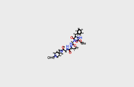 CC(C)CC(NC(=O)CNC(=O)C(Cc1ccccc1)NC(=O)OC(C)(C)C)C(=O)NCC(=O)N1CC2(CCN(C=O)CC2)C1